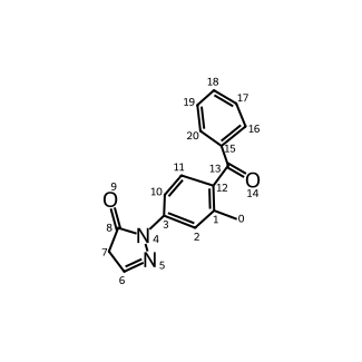 Cc1cc(N2N=CCC2=O)ccc1C(=O)c1ccccc1